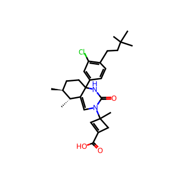 C[C@H]1CCC2(c3ccc(CCC(C)(C)C)c(Cl)c3)NC(=O)N(C3(C)C=C(C(=O)O)C3)C=C2[C@@H]1C